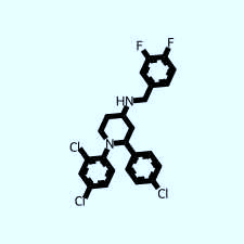 Fc1ccc(CNC2CCN(c3ccc(Cl)cc3Cl)C(c3ccc(Cl)cc3)C2)cc1F